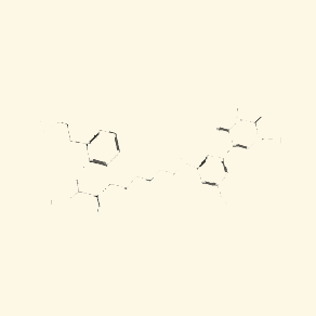 CCOC(=O)CCc1ccccc1OC(C(=O)OCC)C(C)CCCCCCOc1cc(Br)cc(-c2cn(C)c(=O)n(C)c2=O)c1